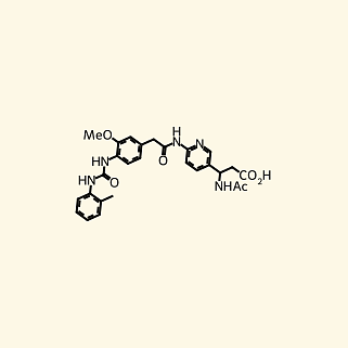 COc1cc(CC(=O)Nc2ccc(C(CC(=O)O)NC(C)=O)cn2)ccc1NC(=O)Nc1ccccc1C